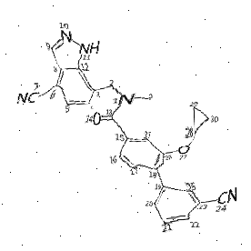 CN(Cc1ccc(C#N)c2cn[nH]c12)C(=O)c1ccc(-c2cccc(C#N)c2)c(OC2CC2)c1